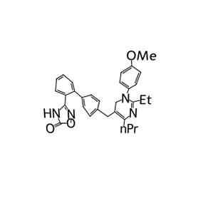 CCCC1=C(Cc2ccc(-c3ccccc3-c3noc(=O)[nH]3)cc2)CN(c2ccc(OC)cc2)C(CC)=N1